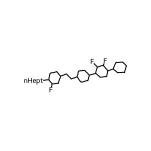 CCCCCCCC1CCC(CCC2CCC(C3CCC(C4CCCCC4)C(F)C3F)CC2)CC1F